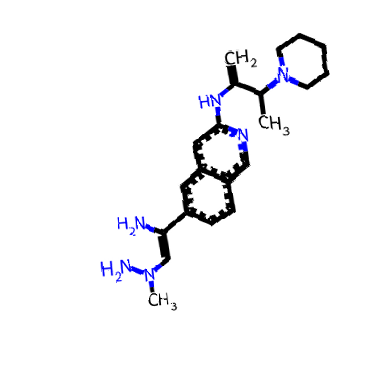 C=C(Nc1cc2cc(/C(N)=C/N(C)N)ccc2cn1)C(C)N1CCCCC1